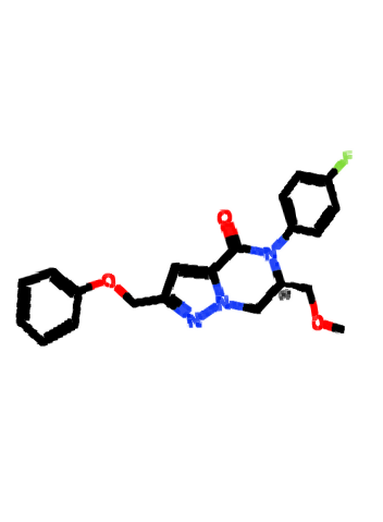 COC[C@H]1Cn2nc(COc3ccccc3)cc2C(=O)N1c1ccc(F)cc1